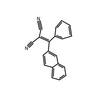 N#CC(C#N)=C(c1ccccc1)c1ccc2ccccc2c1